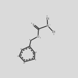 CCN(CC)C(=S)OCc1ccccc1